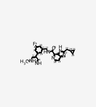 CN/C=C(\C=N)c1cc(F)cc(CNC(=O)c2nccc3nc(CC4CC4)[nH]c23)c1